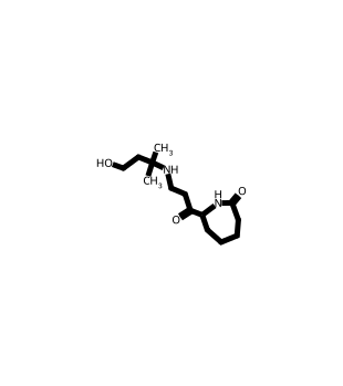 CC(C)(CCO)NCCC(=O)C1CCCCC(=O)N1